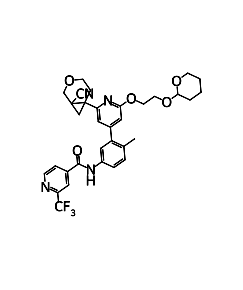 Cc1ccc(NC(=O)c2ccnc(C(F)(F)F)c2)cc1-c1cc(OCCOC2CCCCO2)nc(C23CCOCC2(C#N)C3)c1